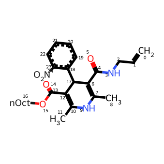 C=CCNC(=O)C1=C(C)NC(C)=C(C(=O)OCCCCCCCC)C1c1ccccc1[N+](=O)[O-]